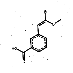 CO/C(Br)=C\c1cccc(C(=O)O)c1